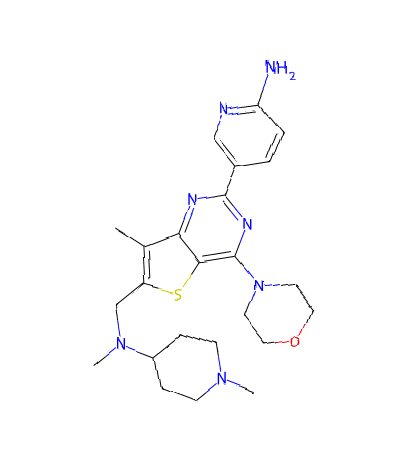 Cc1c(CN(C)C2CCN(C)CC2)sc2c(N3CCOCC3)nc(-c3ccc(N)nc3)nc12